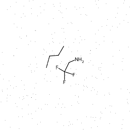 CCCC.NCC(F)(F)F